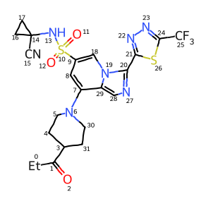 CCC(=O)C1CCN(c2cc(S(=O)(=O)NC3(C#N)CC3)cn3c(-c4nnc(C(F)(F)F)s4)ncc23)CC1